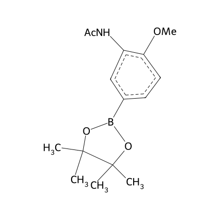 COc1ccc(B2OC(C)(C)C(C)(C)O2)cc1NC(C)=O